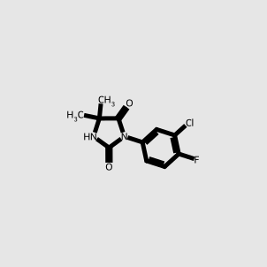 CC1(C)NC(=O)N(c2ccc(F)c(Cl)c2)C1=O